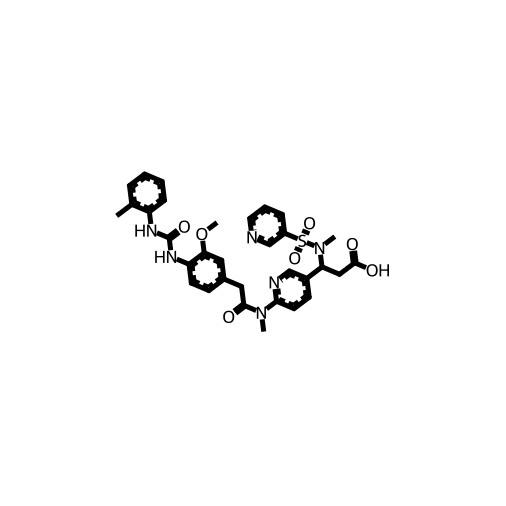 COc1cc(CC(=O)N(C)c2ccc(C(CC(=O)O)N(C)S(=O)(=O)c3cccnc3)cn2)ccc1NC(=O)Nc1ccccc1C